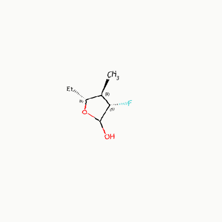 CC[C@H]1OC(O)[C@@H](F)[C@@H]1C